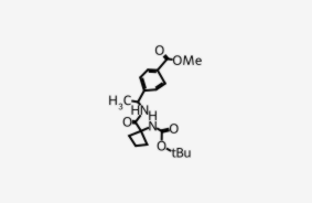 COC(=O)c1ccc(C(C)NC(=O)C2(NC(=O)OC(C)(C)C)CCC2)cc1